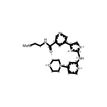 CNCCNC(=O)c1cncc(-c2cnc(Nc3cc(N4CCOCC4)ccn3)s2)c1